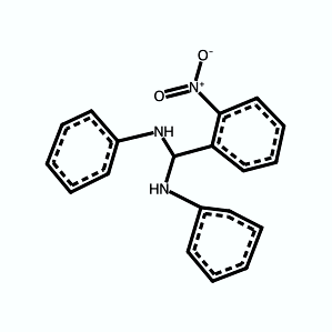 O=[N+]([O-])c1ccccc1C(Nc1ccccc1)Nc1ccccc1